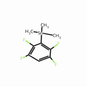 [CH3][Sn]([CH3])([CH3])[c]1c(F)c(F)cc(F)c1F